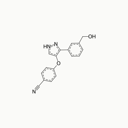 N#Cc1ccc(Oc2c[nH]nc2-c2cccc(CO)c2)cc1